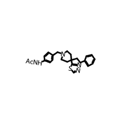 CC(=O)Nc1ccc(CN2CCC(CCc3ccccc3)(c3nncs3)CC2)cc1